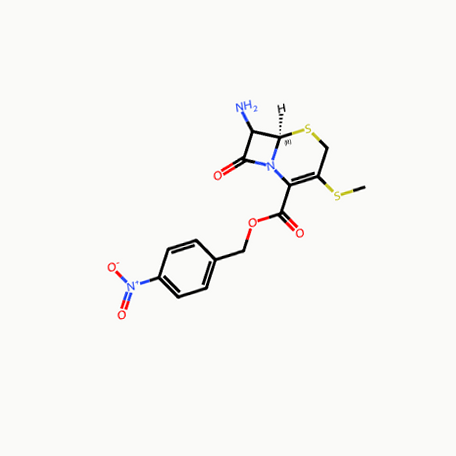 CSC1=C(C(=O)OCc2ccc([N+](=O)[O-])cc2)N2C(=O)C(N)[C@H]2SC1